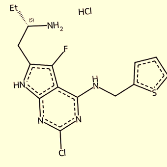 CC[C@H](N)Cc1[nH]c2nc(Cl)nc(NCc3cccs3)c2c1F.Cl